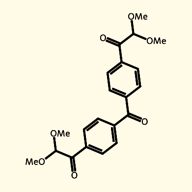 COC(OC)C(=O)c1ccc(C(=O)c2ccc(C(=O)C(OC)OC)cc2)cc1